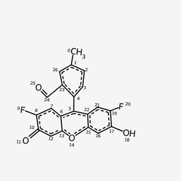 Cc1ccc(-c2c3cc(F)c(=O)cc-3oc3cc(O)c(F)cc23)c(C=O)c1